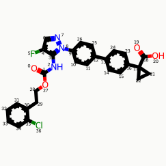 O=C(Nc1c(F)cnn1-c1ccc(-c2ccc(C3(C(=O)O)CC3)cc2)cc1)OCCc1ccccc1Cl